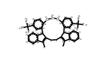 CC1=C2CCC3=C(C)c4ccccc4C3c3cc(C(F)(F)F)ccc3[O][Zr][O]c3ccc(C(F)(F)F)cc3C2c2ccccc21